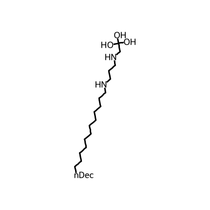 CCCCCCCCCCCCCCCCCCCCCCNCCCNCC(O)(O)O